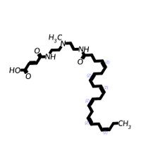 CC/C=C\C/C=C\C/C=C\C/C=C\C/C=C\C/C=C\CCC(=O)NCCN(C)CCNC(=O)C=CC(=O)O